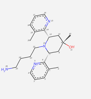 Cc1cccnc1[C@H]1C[C@@](C)(O)C[C@@H](c2ncccc2C)N1CCCCN